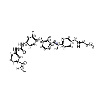 CNC(=O)c1cccc(NC(=O)Nc2ccc(Oc3ccnc(/C=C(\C)c4ccc(CNCCOC)cn4)c3C)c(F)c2)c1